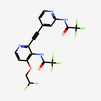 O=C(Nc1cc(C#Cc2nccc(OCC(F)F)c2NC(=O)C(F)(F)F)ccn1)C(F)(F)F